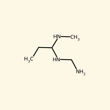 CCC(NC)NCN